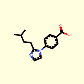 CC(C)CCc1nccn1-c1ccc(C(=O)O)cc1